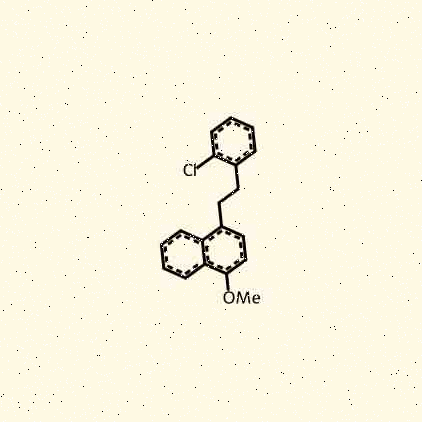 COc1ccc(CCc2ccccc2Cl)c2ccccc12